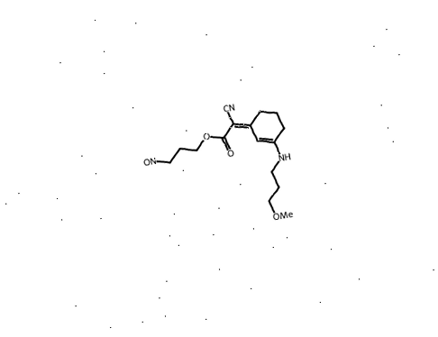 COCCCNC1=C/C(=C(/C#N)C(=O)OCCCN=O)CCC1